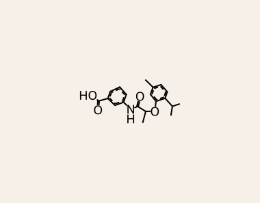 Cc1ccc(C(C)C)c(OC(C)C(=O)Nc2cccc(C(=O)O)c2)c1